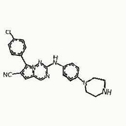 N#Cc1cc2cnc(Nc3ccc(N4CCNCC4)cc3)nn2c1-c1ccc(Cl)cc1